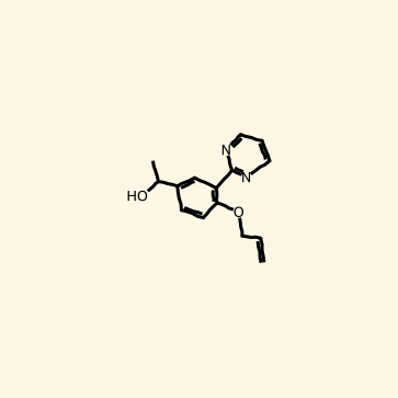 C=CCOc1ccc(C(C)O)cc1-c1ncccn1